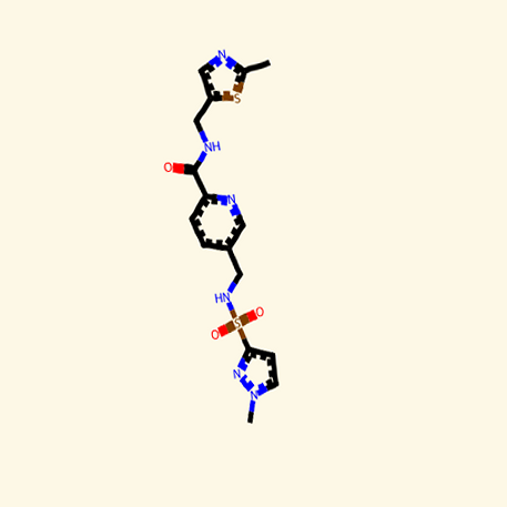 Cc1ncc(CNC(=O)c2ccc(CNS(=O)(=O)c3ccn(C)n3)cn2)s1